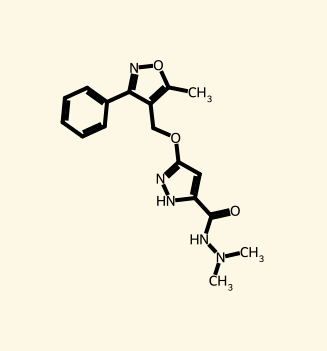 Cc1onc(-c2ccccc2)c1COc1cc(C(=O)NN(C)C)[nH]n1